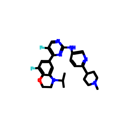 CC(C)N1CCOc2c(F)cc(-c3nc(Nc4ccc(C5CCN(C)CC5)nc4)ncc3F)cc21